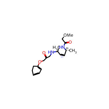 COCC(=O)N[C@H](C)/C=C\C(C)NCC(=O)COC1=CC=CCC1